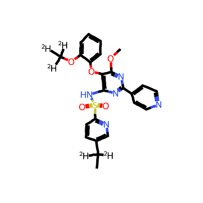 [2H]C([2H])([2H])Oc1ccccc1Oc1c(NS(=O)(=O)c2ccc(C([2H])([2H])C)cn2)nc(-c2ccncc2)nc1OC